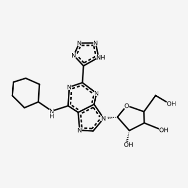 OCC1O[C@@H](n2cnc3c(NC4CCCCC4)nc(-c4nnn[nH]4)nc32)[C@@H](O)C1O